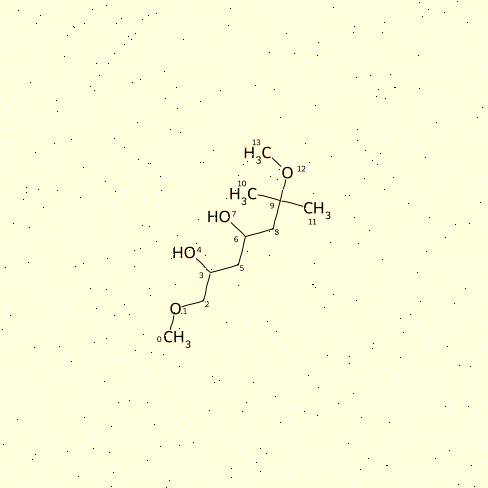 COCC(O)CC(O)CC(C)(C)OC